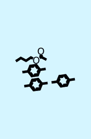 CCCCOC(C)=O.Cc1ccc(C)cc1.Cc1ccc(C)cc1.Cc1ccc(C)cc1